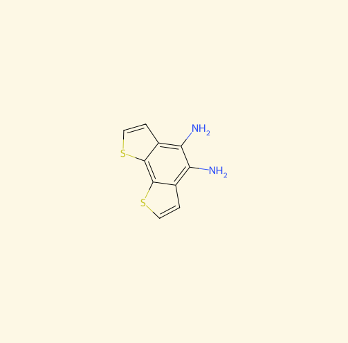 Nc1c(N)c2ccsc2c2sccc12